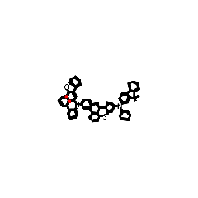 CC1(C)c2ccccc2-c2ccc(N(c3ccccc3)c3ccc4c(c3)Sc3cccc5c3c-4cc3ccc(N(c4ccc6oc7ccccc7c6c4)c4ccccc4-c4ccccc4)cc35)cc21